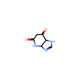 O=C1CC(=O)C2NC=NC2N1